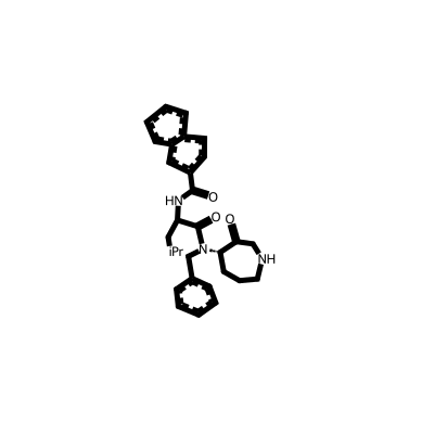 [CH2]C([CH2])CC(NC(=O)c1ccc2ccccc2c1)C(=O)N(Cc1ccccc1)[C@H]1CCCNCC1=O